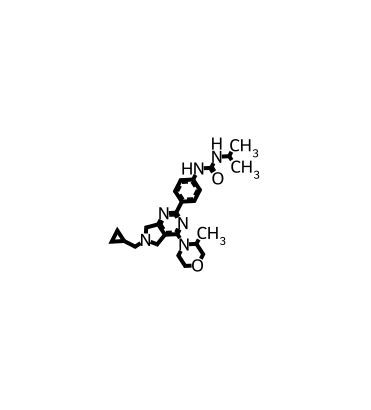 CC(C)NC(=O)Nc1ccc(-c2nc3c(c(N4CCOCC4C)n2)CN(CC2CC2)C3)cc1